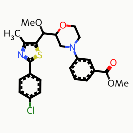 COC(=O)c1cccc(N2CCOC(C(OC)c3sc(-c4ccc(Cl)cc4)nc3C)C2)c1